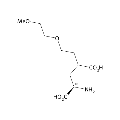 COCCOCCC(C[C@@H](N)C(=O)O)C(=O)O